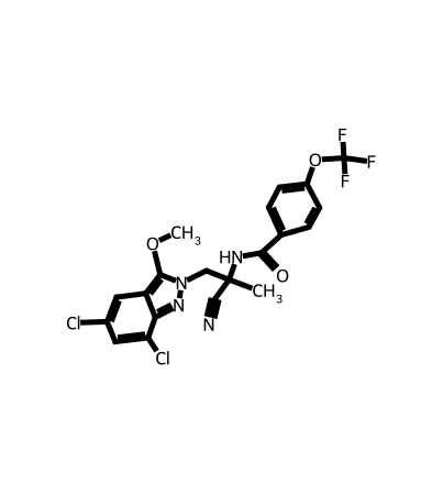 COc1c2cc(Cl)cc(Cl)c2nn1CC(C)(C#N)NC(=O)c1ccc(OC(F)(F)F)cc1